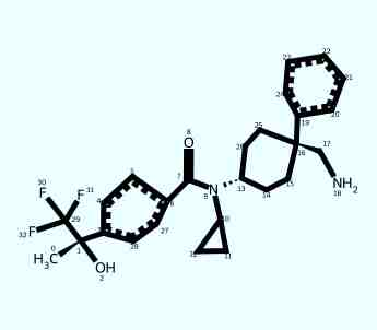 C[C@](O)(c1ccc(C(=O)N(C2CC2)[C@H]2CC[C@@](CN)(c3ccccc3)CC2)cc1)C(F)(F)F